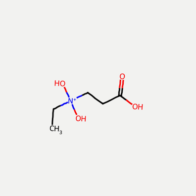 CC[N+](O)(O)CCC(=O)O